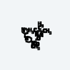 Cc1nc(OCC(=O)N(C)C2CCN(Cc3cccnc3)CC2)nc(C)c1C